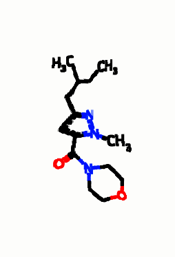 CCC(C)Cc1cc(C(=O)N2CCOCC2)n(C)n1